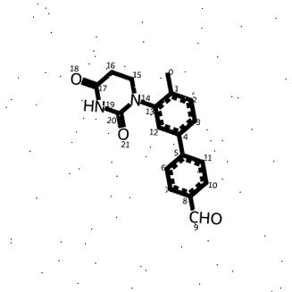 Cc1ccc(-c2ccc(C=O)cc2)cc1N1CCC(=O)NC1=O